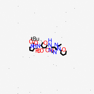 Cc1nc2c(N[C@H]3O[C@@H](C)[C@H](NC(=O)[C@H]4CCCN4C(=O)OC(C)(C)C)[C@@H](O)[C@@H]3O)ncnc2n1C1CCCCO1